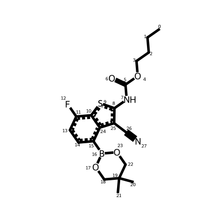 CCCCOC(=O)Nc1sc2c(F)ccc(B3OCC(C)(C)CO3)c2c1C#N